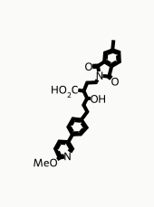 COc1ccc(-c2ccc(CCC(O)C(CCN3C(=O)c4ccc(C)cc4C3=O)C(=O)O)cc2)cn1